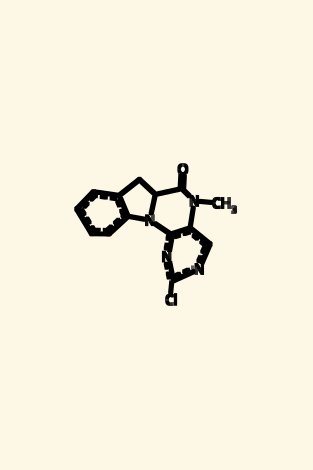 CN1C(=O)C2Cc3ccccc3N2c2nc(Cl)ncc21